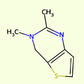 CC1=Nc2ccsc2CN1C